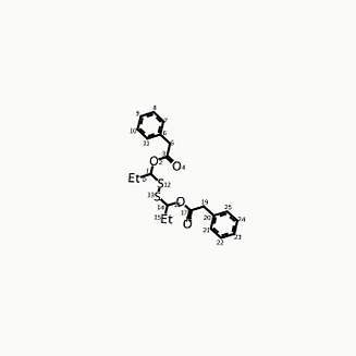 CCC(OC(=O)Cc1ccccc1)SSC(CC)OC(=O)Cc1ccccc1